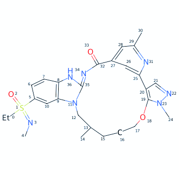 CCS(=O)(=NC)c1ccc2c(c1)N1CC(C)CCCOc3c(cnn3C)-c3cc(cc(C)n3)C(=O)/N=C/1N2